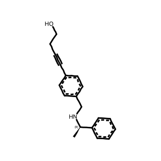 C[C@@H](NCc1ccc(C#CCCO)cc1)c1ccccc1